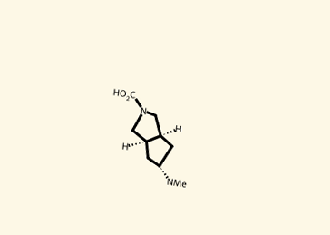 CN[C@H]1C[C@@H]2CN(C(=O)O)C[C@@H]2C1